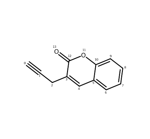 C#CCc1cc2ccccc2oc1=O